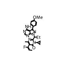 C/C=C(/F)c1c(C)nc(C(CC)n2nc(-c3ccc(OC)cc3)c3c(N)ncnc32)n(C2CC2)c1=O